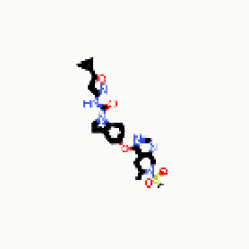 CC1Cc2c(ncnc2Oc2ccc3c(ccn3C(=O)Nc3cc(C4CC4)on3)c2)CN1S(C)(=O)=O